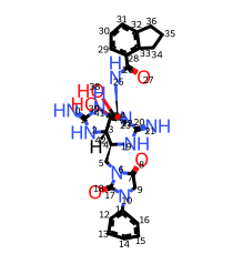 N=C1N[C@H]2[C@H](CN3C(=O)CN(c4ccccc4)C3=O)NC(=N)N3C[C@H](NC(=O)c4cccc5c4CCC5)C(O)(O)[C@]23N1